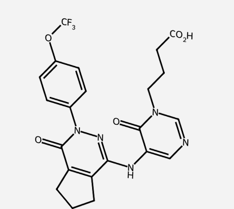 O=C(O)CCCn1cncc(Nc2nn(-c3ccc(OC(F)(F)F)cc3)c(=O)c3c2CCC3)c1=O